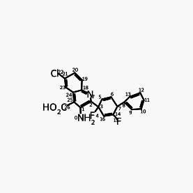 Nc1c(C2(F)C=CC(c3ccccc3)C(F)=C2)nc2ccc(Cl)cc2c1C(=O)O